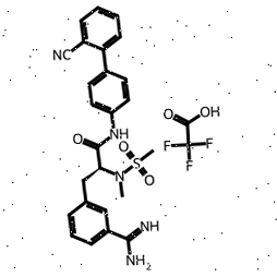 CN([C@@H](Cc1cccc(C(=N)N)c1)C(=O)Nc1ccc(-c2ccccc2C#N)cc1)S(C)(=O)=O.O=C(O)C(F)(F)F